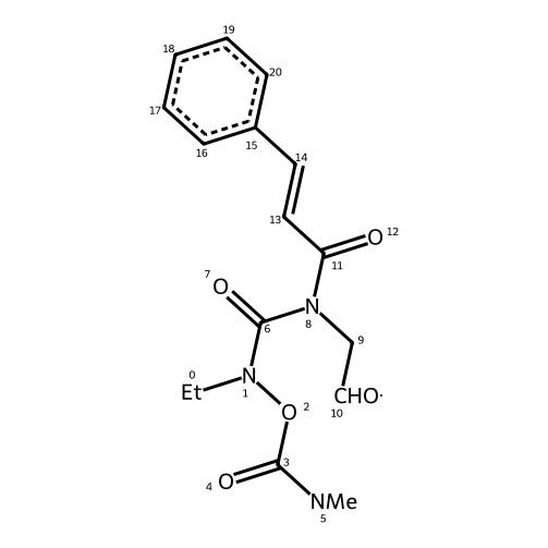 CCN(OC(=O)NC)C(=O)N(C[C]=O)C(=O)C=Cc1ccccc1